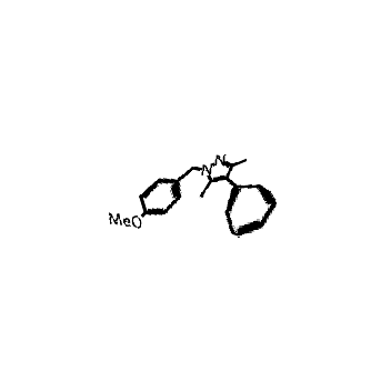 COc1ccc(Cn2nc(C)c(-c3c[c]ccc3)c2C)cc1